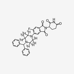 [2H]C1([2H])N(c2cc3c(cc2F)C(=O)N(C2CCC(=O)NC2=O)C3=O)C([2H])([2H])C([2H])([2H])N(C(c2ccccc2)c2ccccc2)C1([2H])[2H]